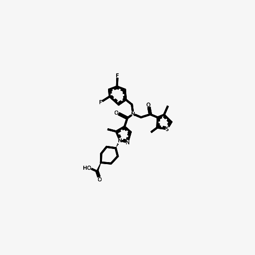 Cc1csc(C)c1C(=O)CN(Cc1cc(F)cc(F)c1)C(=O)c1cnn([C@H]2CC[C@H](C(=O)O)CC2)c1C